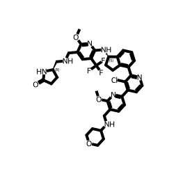 COc1nc(-c2ccnc(-c3cccc4c3CC[C@@H]4Nc3nc(OC)c(CNC[C@H]4CCC(=O)N4)cc3C(F)(F)F)c2Cl)ccc1CNC1CCOCC1